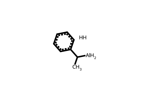 C[CH]([AlH2])c1ccccc1.[HH]